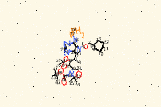 CC(c1cn(COCc2ccccc2)c2c(/N=P/P)ncnc12)[C@@H]1OC(C)(C)O[C@@H]1[C@H]1COC(C)(C)N1C(=O)OC(C)(C)C